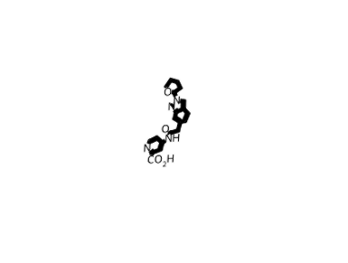 O=C(Cc1ccc2cn(C3CCCCO3)nc2c1)Nc1ccnc(C(=O)O)c1